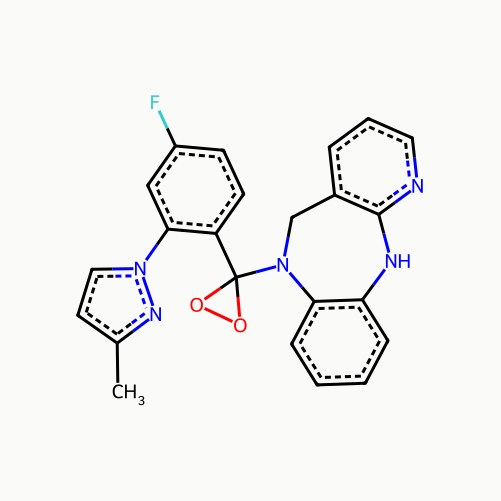 Cc1ccn(-c2cc(F)ccc2C2(N3Cc4cccnc4Nc4ccccc43)OO2)n1